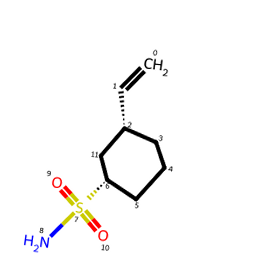 C=C[C@@H]1CCC[C@H](S(N)(=O)=O)C1